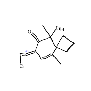 CC1=C/C(=C\Cl)C(=O)C(C)(O)C12CCC2